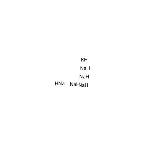 [KH].[NaH].[NaH].[NaH].[NaH].[NaH]